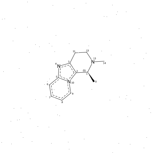 C[C@H]1c2c(nc3ccccn23)CCN1C